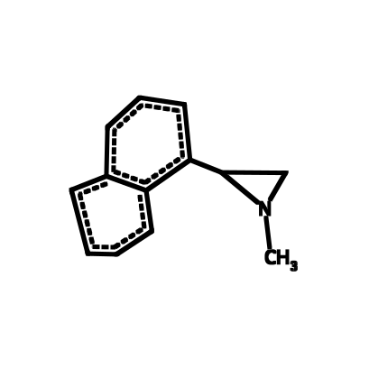 CN1CC1c1cccc2ccccc12